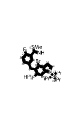 CSC(=N)c1cc(Cc2c(F)cc3c(ccn3[Si](C(C)C)(C(C)C)C(C)C)c2Br)ccc1F.I